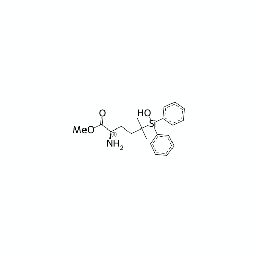 COC(=O)[C@H](N)CCC(C)(C)[Si](O)(c1ccccc1)c1ccccc1